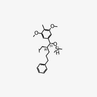 COc1cc([C@@H](O[SiH](C)C)[C@H](CI)CCCc2ccccc2)cc(OC)c1C